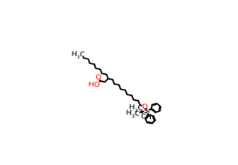 CCCCCCCCCC(CCCCCCCCCCO[Si](c1ccccc1)(c1ccccc1)C(C)(C)C)CC(=O)O